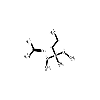 CC(N)=O.CC[CH2][Ti]([CH3])([O]C)[O]C